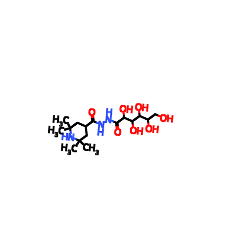 CC1(C)CC(C(=O)NNC(=O)C(O)C(O)C(O)C(O)CO)CC(C)(C)N1